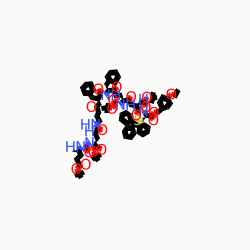 CCOc1ccc(COC(=O)[C@H](CSC(c2ccccc2)(c2ccccc2)c2ccccc2)NC(=O)[C@H](CC(=O)OC(C)(C)C)CC(=O)[C@H](CCC(=O)[C@H](Cc2ccccc2)NC(=O)[C@@H](CC(=O)CCCNC(=O)CC[C@H](NC(=O)N[C@H](C)CCC(=O)OC(C)(C)C)C(=O)OC(C)(C)C)Cc2ccccc2)NC(=O)OC(C)(C)C)cc1